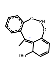 C/C1=C2/C(=CC=CC2C(C)(C)C)OPOc2ccccc21